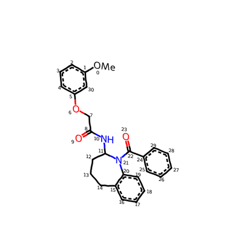 COc1cccc(OCC(=O)NC2CCCc3ccccc3N2C(=O)c2ccccc2)c1